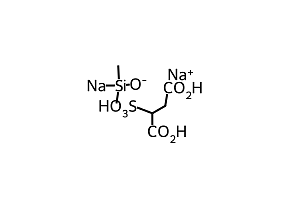 C[Si](C)([O-])[Na].O=C(O)CC(C(=O)O)S(=O)(=O)O.[Na+]